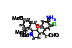 CCCCN1CCC(C(CC=O)c2cc(Cl)c(N)cc2OCc2cc(OC)cc(OC)c2)CC1